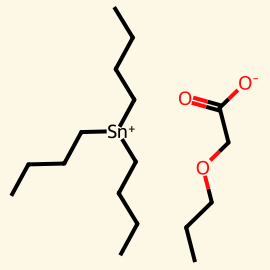 CCCOCC(=O)[O-].CCC[CH2][Sn+]([CH2]CCC)[CH2]CCC